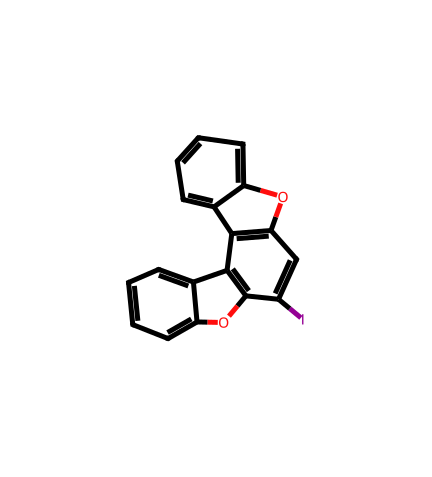 Ic1cc2oc3ccccc3c2c2c1oc1ccccc12